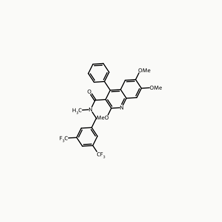 COc1cc2nc(OC)c(C(=O)N(C)Cc3cc(C(F)(F)F)cc(C(F)(F)F)c3)c(-c3ccccc3)c2cc1OC